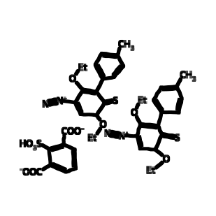 CCOC1=C(c2ccc(C)cc2)C(=S)C(OCC)C=C1[N+]#N.CCOC1=C(c2ccc(C)cc2)C(=S)C(OCC)C=C1[N+]#N.O=C([O-])c1cccc(C(=O)[O-])c1S(=O)(=O)O